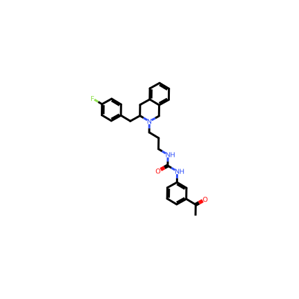 CC(=O)c1cccc(NC(=O)NCCCN2Cc3ccccc3CC2Cc2ccc(F)cc2)c1